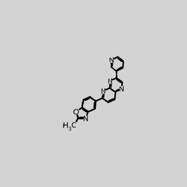 Cc1nc2cc(-c3ccc4ncc(-c5cccnc5)nc4n3)ccc2o1